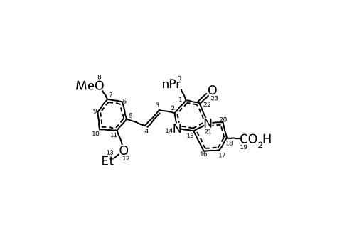 CCCc1c(C=Cc2cc(OC)ccc2OCC)nc2ccc(C(=O)O)cn2c1=O